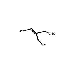 CC(C)C=C(CC=O)CC(C)C